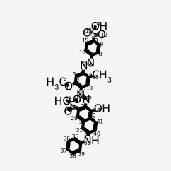 COc1cc(/N=N/c2ccc(S(=O)(=O)O)cc2)c(C)cc1/N=N/c1c(S(=O)(=O)O)cc2cc(Nc3ccccc3)ccc2c1O